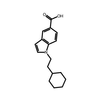 O=C(O)c1ccc2c(ccn2CCC2CCCCC2)c1